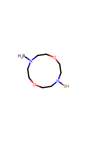 BN1CCOCCN(S)CCOCC1